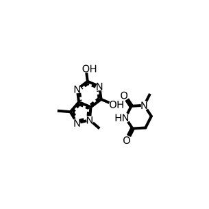 CN1CCC(=O)NC1=O.Cc1nn(C)c2c(O)nc(O)nc12